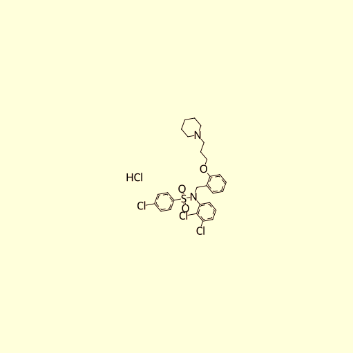 Cl.O=S(=O)(c1ccc(Cl)cc1)N(Cc1ccccc1OCCCN1CCCCC1)c1cccc(Cl)c1Cl